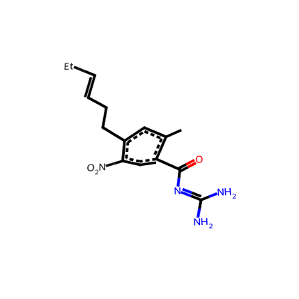 CCC=CCCc1cc(C)c(C(=O)N=C(N)N)cc1[N+](=O)[O-]